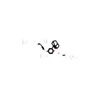 CCOC(=O)/C=C(\C)C#C[Se]c1cc(C23CC4CC(CC(C4)C2)C3)c(OCOCCOC)cc1C